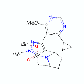 COc1ncnc(C2CC2)c1-c1nn(C)c2c1C1CCC(C2)N1C(=O)OC(C)(C)C